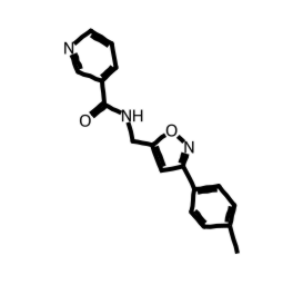 Cc1ccc(-c2cc(CNC(=O)c3cccnc3)on2)cc1